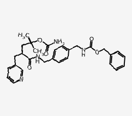 CC(C)(CC(Cc1cccnc1)C(=O)NCc1ccc(CNC(=O)OCc2ccccc2)cc1)OC(N)=O